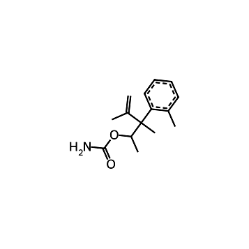 C=C(C)C(C)(c1ccccc1C)C(C)OC(N)=O